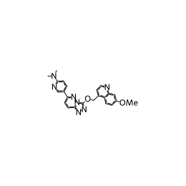 COc1ccc2c(COc3nnc4ccc(-c5ccc(N(C)C)nc5)nn34)ccnc2c1